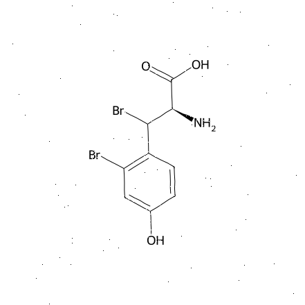 N[C@H](C(=O)O)C(Br)c1ccc(O)cc1Br